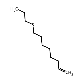 [CH2]CCSCCCCCCC=C